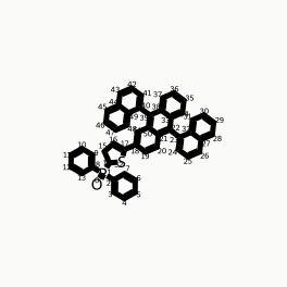 O=P(c1ccccc1)(c1ccccc1)C1CC=C(c2ccc3c(-c4cccc5ccccc45)c4ccccc4c(-c4cccc5ccccc45)c3c2)S1